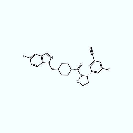 N#Cc1cc(F)cc([C@@H]2CCON2C(=O)[C@H]2CC[C@H](Cn3ncc4cc(F)ccc43)CC2)c1